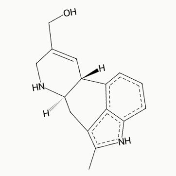 Cc1[nH]c2cccc3c2c1C[C@H]1NCC(CO)=C[C@H]31